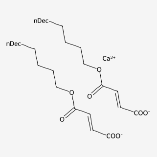 CCCCCCCCCCCCCCOC(=O)/C=C/C(=O)[O-].CCCCCCCCCCCCCCOC(=O)/C=C/C(=O)[O-].[Ca+2]